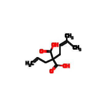 C=CCC(CC=C(C)C)(C(=O)O)C(=O)O